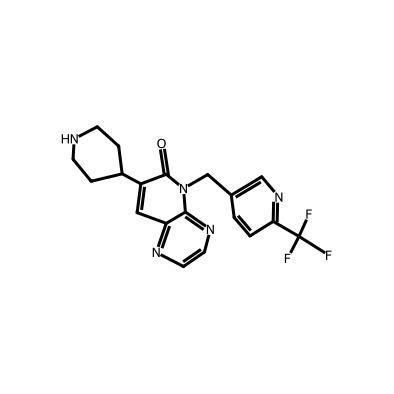 O=c1c(C2CCNCC2)cc2nccnc2n1Cc1ccc(C(F)(F)F)nc1